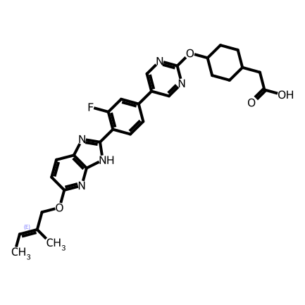 C/C=C(\C)COc1ccc2nc(-c3ccc(-c4cnc(OC5CCC(CC(=O)O)CC5)nc4)cc3F)[nH]c2n1